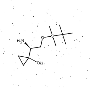 CC(C)(C)[Si](C)(C)OC[C@H](N)C1(O)CC1